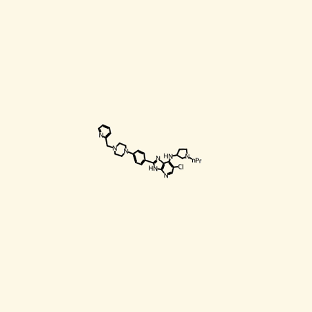 CCCN1CCC(Nc2c(Cl)cnc3[nH]c(-c4ccc(N5CCN(Cc6ccccn6)CC5)cc4)nc23)C1